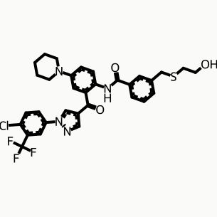 O=C(Nc1ccc(N2CCCCC2)cc1C(=O)c1cnn(-c2ccc(Cl)c(C(F)(F)F)c2)c1)c1cccc(CSCCO)c1